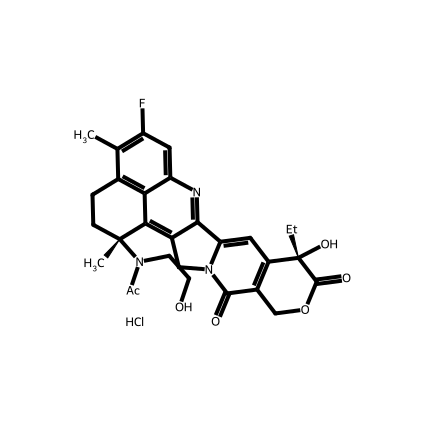 CC[C@@]1(O)C(=O)OCc2c1cc1n(c2=O)Cc2c-1nc1cc(F)c(C)c3c1c2[C@](C)(N(CCO)C(C)=O)CC3.Cl